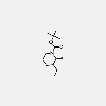 CC[C@H]1CCCN(C(=O)OC(C)(C)C)[C@H]1C